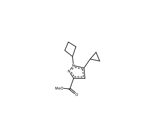 COC(=O)c1cc(C2CC2)n(C2CCC2)n1